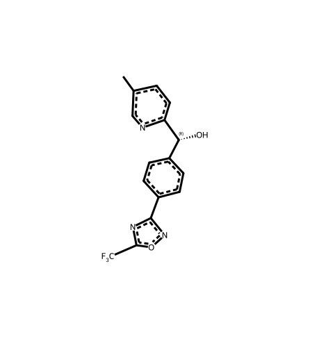 Cc1ccc([C@H](O)c2ccc(-c3noc(C(F)(F)F)n3)cc2)nc1